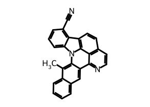 Cc1c2ccccc2cc2c3nccc4ccc5c6c(C#N)cccc6n(c12)c5c43